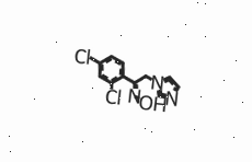 O/N=C(\Cn1ccnc1)c1ccc(Cl)cc1Cl